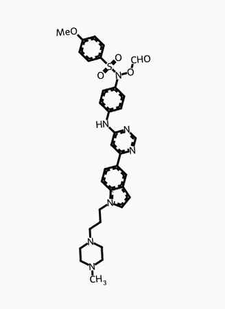 COc1ccc(S(=O)(=O)N(OC=O)c2ccc(Nc3cc(-c4ccc5c(ccn5CCCN5CCN(C)CC5)c4)ncn3)cc2)cc1